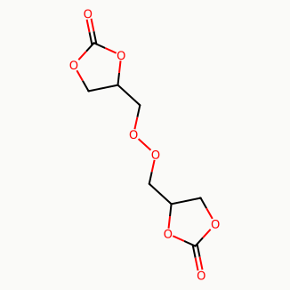 O=C1OCC(COOCC2COC(=O)O2)O1